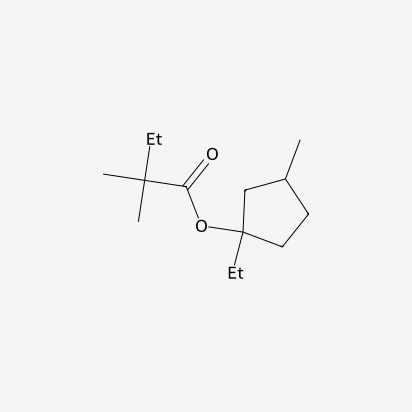 CCC1(OC(=O)C(C)(C)CC)CCC(C)C1